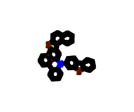 c1ccc(-c2ccccc2N(c2ccc3c(c2)sc2ccccc23)c2ccc3sc4ccc5ccccc5c4c3c2)cc1